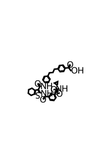 O=C(CO)c1ccc(CCCc2ccc(NC(=O)c3c(NC(=O)c4cccc(S(=O)(=O)NC5CC5)c4)sc4c3CCCC4)cc2)cc1